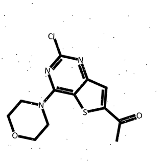 CC(=O)c1cc2nc(Cl)nc(N3CCOCC3)c2s1